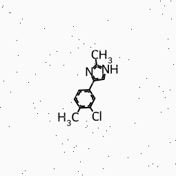 Cc1nc(-c2ccc(C)c(Cl)c2)c[nH]1